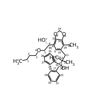 CCCCOC[C@H](O)c1cc(CC(C)(C)[Si](O)(c2ccccc2)c2ccccc2)c(C)c2c1OCO2